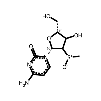 C[S+]([O-])C1C(O)[C@@H](CO)O[C@H]1n1ccc(N)nc1=O